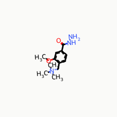 COc1cc(C(=O)NN)ccc1C[N+](C)(C)C